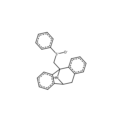 [O-][S+](CC12NC(Cc3ccccc31)c1ccccc12)c1ccccc1